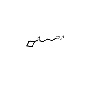 O=C(O)CCCNC1CCC1